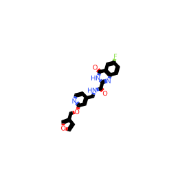 O=C(NCc1ccnc(OCc2ccoc2)c1)c1nc2ccc(F)cc2c(=O)[nH]1